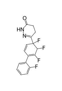 O=C1CCC(C2(F)C=CC(c3ccccc3F)=C(F)C2F)=NN1